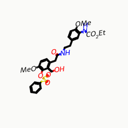 CCOC(=O)Nc1cc(CCNC(=O)Cc2ccc(OC)c(OS(=O)(=O)c3ccccc3)c2CO)ccc1OC